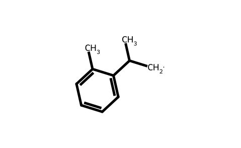 [CH2]C(C)c1ccccc1C